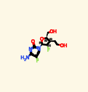 Nc1nc(=O)n([C@@H]2O[C@H](CO)[C@@H](CCO)[C@@H]2F)cc1F